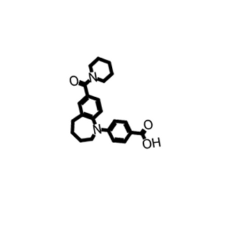 O=C(O)c1ccc(N2CCCCc3cc(C(=O)N4CCCCC4)ccc32)cc1